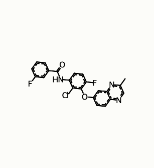 Cc1cnc2ccc(Oc3c(F)ccc(NC(=O)c4cccc(F)c4)c3Cl)cc2n1